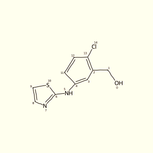 OCc1cc(Nc2nccs2)ccc1Cl